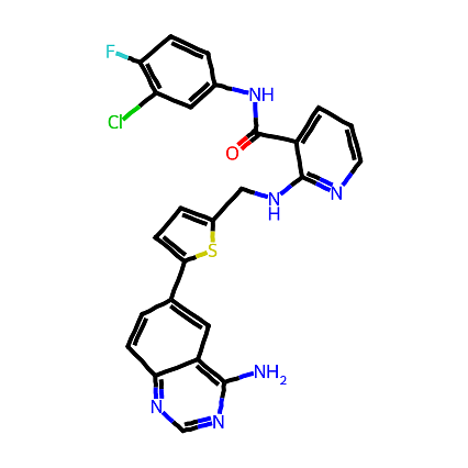 Nc1ncnc2ccc(-c3ccc(CNc4ncccc4C(=O)Nc4ccc(F)c(Cl)c4)s3)cc12